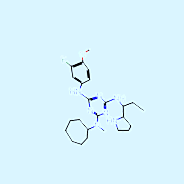 CCC(Nc1nc(Nc2ccc(OC)c(F)c2)nc(N(C)C2CCCCCC2)n1)C1CCCN1